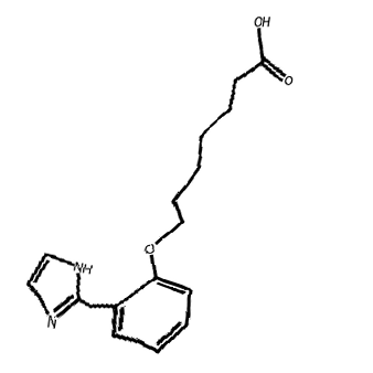 O=C(O)CCCCCCOc1ccccc1-c1ncc[nH]1